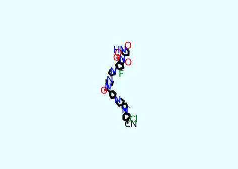 C[C@H]1CC2(CCN(c3ccc(C(=O)N4CCN([C@@H]5CCN(c6cc7c(cc6F)C(=O)N(C6CCC(=O)NC6=O)C7=O)C5)CC4)cc3)CC2)CN1c1ccc(C#N)c(Cl)c1